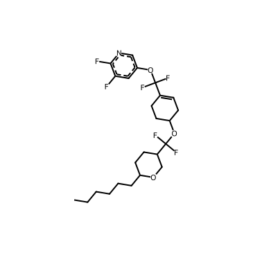 CCCCCCC1CCC(C(F)(F)OC2CC=C(C(F)(F)Oc3cnc(F)c(F)c3)CC2)CO1